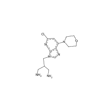 NCC(CN)Cn1cnc2c(N3CCOCC3)cc(Cl)nc21